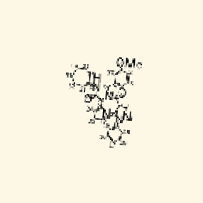 COc1cccc(CN2C(=O)c3cnn(-c4ccccc4)c3-n3cccc3C2C(=O)NC2CCCCCC2)c1